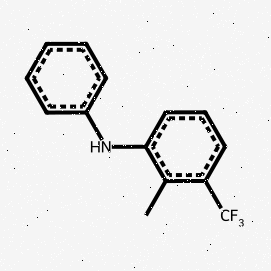 Cc1c(Nc2ccccc2)cccc1C(F)(F)F